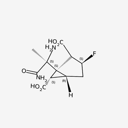 C[C@@](N)(C(N)=O)[C@@]12C(C(=O)O)[C@@H](F)C[C@@H]1[C@@H]2C(=O)O